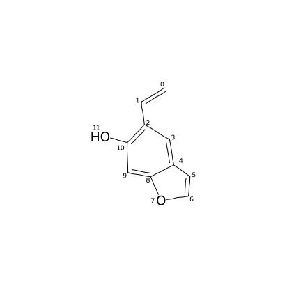 C=Cc1cc2ccoc2cc1O